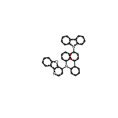 c1ccc(N(c2ccccc2-c2ccc(-n3c4ccccc4c4ccccc43)cc2)c2ccnc3c2oc2ccccc23)cc1